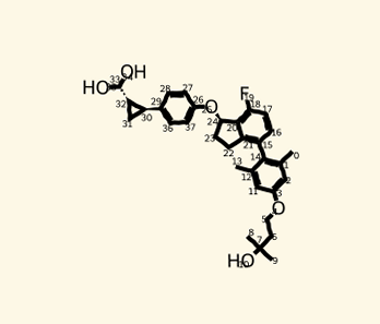 Cc1cc(OCCC(C)(C)O)cc(C)c1-c1ccc(F)c2c1CC[C@H]2Oc1ccc([C@H]2C[C@@H]2C(O)O)cc1